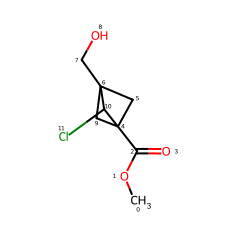 COC(=O)C12CC(CO)(C1)C2Cl